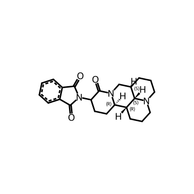 O=C1c2ccccc2C(=O)N1C1CC[C@@H]2[C@H]3CCCN4CCC[C@@H](CN2C1=O)[C@@H]34